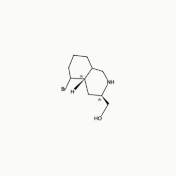 OC[C@H]1C[C@@H]2C(Br)CCCC2CN1